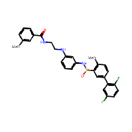 COc1cccc(C(=O)NCCNc2cccc(N[S+]([O-])c3cc(-c4cc(F)ccc4F)ccc3OC)c2)c1